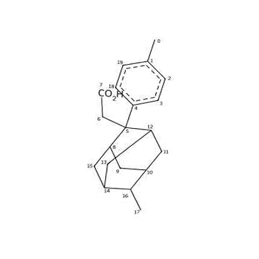 Cc1ccc(C2(CC(=O)O)C3CC4CC2CC(C3)C4C)cc1